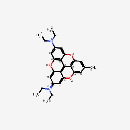 CCN(CC)c1cc2oc3cc(C)cc4oc5cc(=[N+](CC)CC)cc6oc(c1)c2c(c34)c56